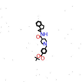 CC(C)(C)OC(=O)c1ccc(CN2CCC(C(=O)NC3CC34CCc3ccccc34)CC2)cc1